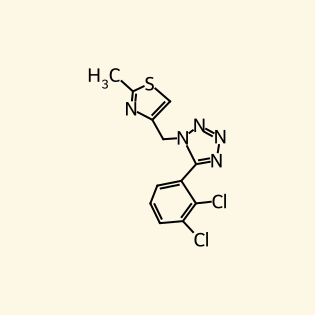 Cc1nc(Cn2nnnc2-c2cccc(Cl)c2Cl)cs1